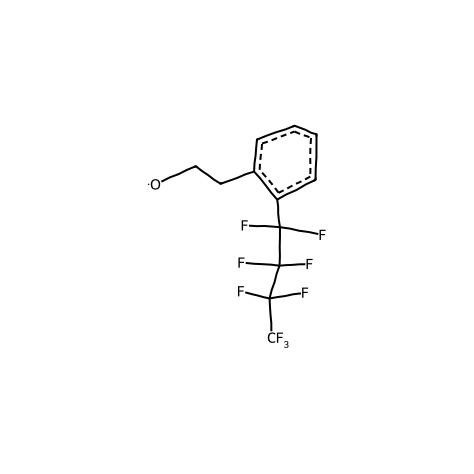 [O]CCc1ccccc1C(F)(F)C(F)(F)C(F)(F)C(F)(F)F